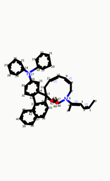 C/C=C\C=C(/C)N1C/C=C\C=C/CC2(c3cc(N(c4ccccc4)c4ccccc4)ccc3-c3c2ccc2ccccc32)c2ccccc21